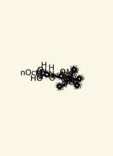 CCCCCCCCOc1c(CO)c2ccc(NC(=O)C=Cc3cc(OC)c(O[C@@H]4O[C@H](COCc5ccccc5)[C@@H](OCc5ccccc5)[C@H](OCc5ccccc5)[C@H]4OCc4ccccc4)c(OC)c3)cc2[nH]c1=O